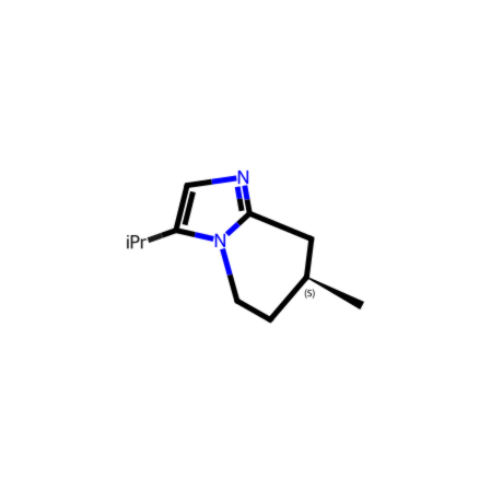 CC(C)c1cnc2n1CC[C@H](C)C2